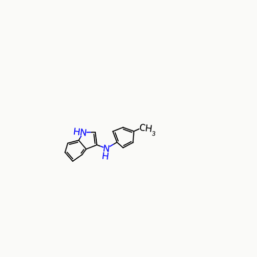 Cc1ccc(Nc2c[nH]c3ccccc23)cc1